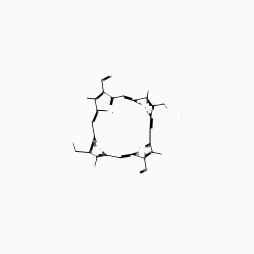 C=CC1=C(C)c2cc3[nH]c(cc4nc(cc5[nH]c(cc1n2)c(C)c5CC)C(C)=C4C=C)c(C)c3CC